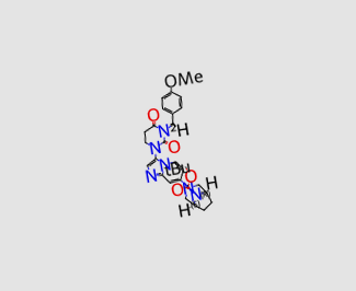 [2H]C(c1ccc(OC)cc1)N1C(=O)CCN(c2cnc3cc(N4C[C@H]5CC[C@@H](C4)N5C(=O)OC(C)(C)C)ccn23)C1=O